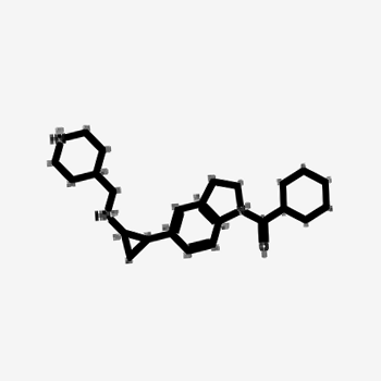 O=C(C1CCCCC1)N1CCc2cc(C3CC3NCC3CCNCC3)ccc21